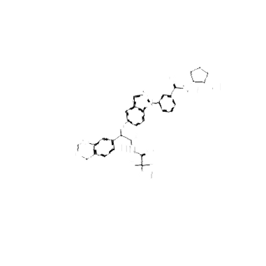 C[C@H](NC(=O)C(C)(F)F)C(Oc1ccc2c(cnn2-c2cccc(C(=O)N[C@@H]3CCC[C@@H]3O)c2)c1)c1ccc2c(c1)OCOC2